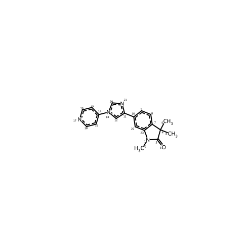 CN1C(=O)C(C)(C)c2ccc(-c3cn(-c4ccncc4)cn3)cc21